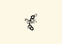 CC(C)CC(C)(Cc1ccc(Cl)cc1)NC(=O)c1cnc2ccccc2c1